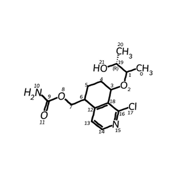 CC(OC1CCC(COC(N)=O)c2ccnc(Cl)c21)[C@@H](C)O